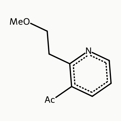 COCCc1ncccc1C(C)=O